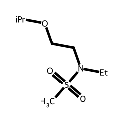 CCN(CCOC(C)C)S(C)(=O)=O